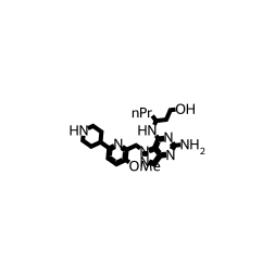 CCCC(CCO)Nc1nc(N)nc2cnn(Cc3nc(C4CCNCC4)ccc3OC)c12